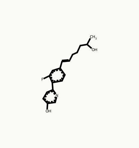 CC(O)CCC/C=C/c1ccc(-c2ccc(O)cn2)c(F)c1